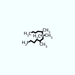 CCCCC(C)S(C)(C)CC(C)CCCP